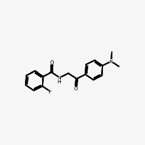 CN(C)c1ccc(C(=O)CNC(=O)c2ccccc2F)cc1